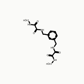 CCCCCCCCNC(=O)C(=O)NCc1cccc(CNC(=O)C(=O)NCCCCCCCC)c1